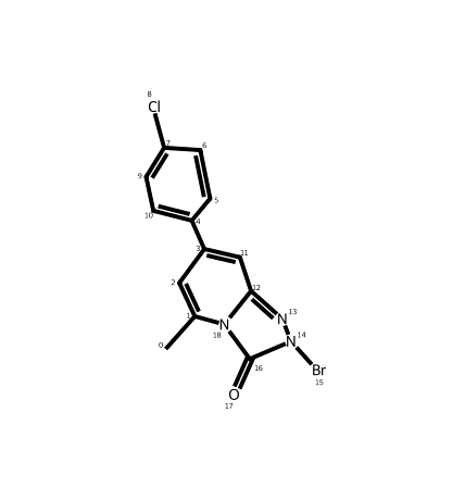 Cc1cc(-c2ccc(Cl)cc2)cc2nn(Br)c(=O)n12